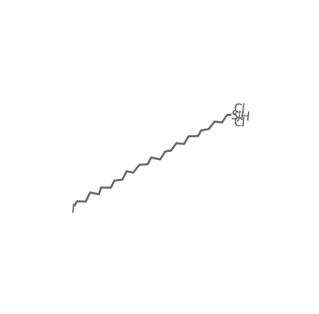 Cl[SiH](Cl)CCCCCCCCCCCCCCCCCCCCCCCCCI